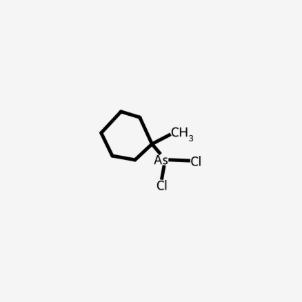 CC1([As](Cl)Cl)CCCCC1